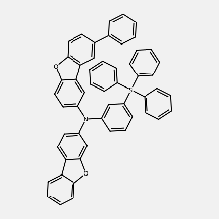 c1ccc(-c2ccc3oc4ccc(N(c5cccc([Si](c6ccccc6)(c6ccccc6)c6ccccc6)c5)c5ccc6c(c5)oc5ccccc56)cc4c3c2)cc1